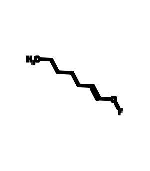 CCCCCC=COF